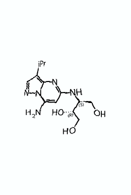 CC(C)c1cnn2c(N)cc(N[C@@H](CO)[C@@H](O)CO)nc12